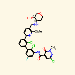 COc1nc(-c2cccc(-c3cc(F)cc(NC(=O)c4cc(Cl)nn(C)c4=O)c3Cl)c2Cl)ccc1CN[C@@H]1CCOC[C@@H]1O